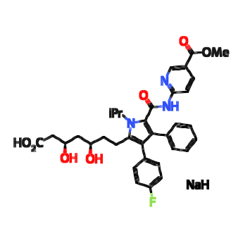 COC(=O)c1ccc(NC(=O)c2c(-c3ccccc3)c(-c3ccc(F)cc3)c(CC[C@@H](O)C[C@@H](O)CC(=O)O)n2C(C)C)nc1.[NaH]